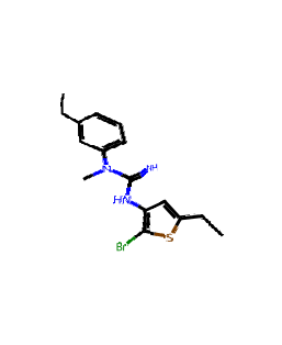 CCc1cccc(N(C)C(=N)Nc2cc(CC)sc2Br)c1